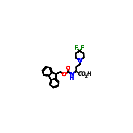 O=C(N[C@@H](CCN1CCC(F)(F)CC1)C(=O)O)OCC1c2ccccc2-c2ccccc21